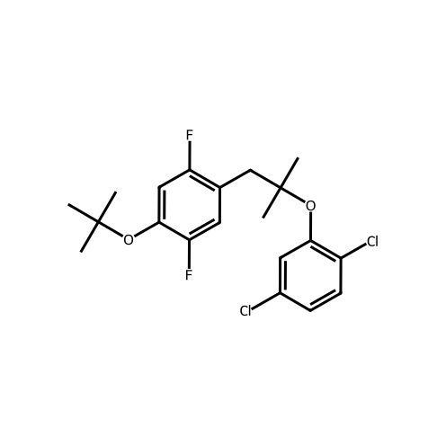 CC(C)(C)Oc1cc(F)c(CC(C)(C)Oc2cc(Cl)ccc2Cl)cc1F